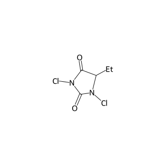 CCC1C(=O)N(Cl)C(=O)N1Cl